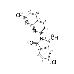 O=C1c2ccc(Cl)cc2C(O)N1c1ccc2ccc(Cl)nc2n1